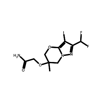 CC1(OCC(N)=O)COc2c(I)c(C(F)F)nn2C1